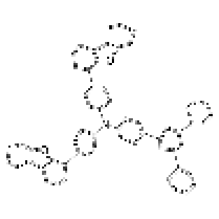 c1ccc(-c2cc(-c3ccccc3)cc(-c3ccc(N(c4ccc(-c5cccc6c5oc5ccccc56)cc4)c4ccc(-c5cccc6c5oc5ccccc56)cc4)cc3)c2)cc1